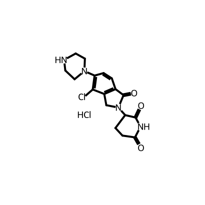 Cl.O=C1CCC(N2Cc3c(ccc(N4CCNCC4)c3Cl)C2=O)C(=O)N1